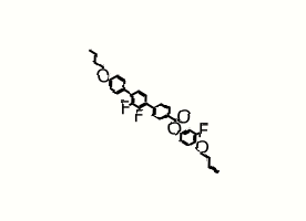 C=CCCOc1ccc(OC(=O)c2ccc(-c3ccc(-c4ccc(OCCCC)cc4)c(F)c3F)cc2)cc1F